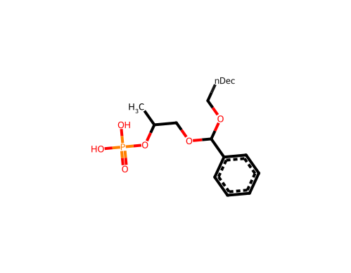 CCCCCCCCCCCOC(OCC(C)OP(=O)(O)O)c1ccccc1